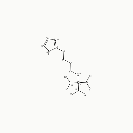 CC(C)[Si](OCCCCc1ncc[nH]1)(C(C)C)C(C)C